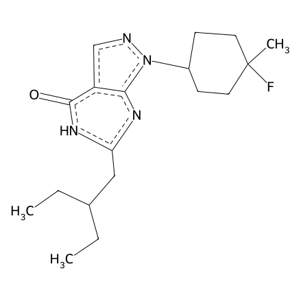 CCC(CC)Cc1nc2c(cnn2C2CCC(C)(F)CC2)c(=O)[nH]1